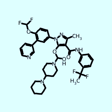 Cc1nn(-c2ccc(OC(F)F)c(-c3cccnc3)c2)c(OC(O)N2CCC(N3CCCCC3)CC2)c1C(=O)Nc1cccc(C(C)(F)F)c1